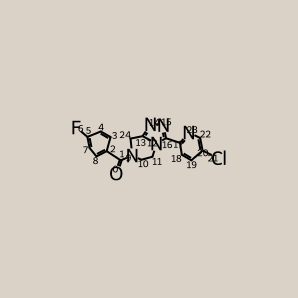 O=C(c1ccc(F)cc1)N1CCn2c(nnc2-c2ccc(Cl)cn2)C1